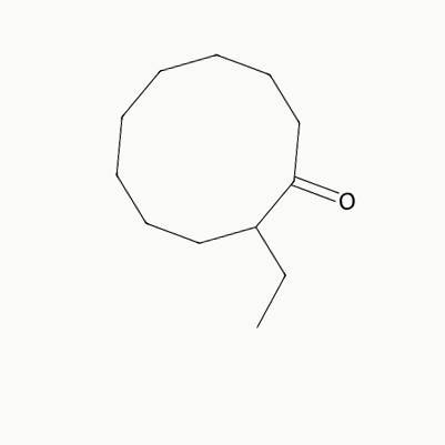 CCC1CCCCCCCCC1=O